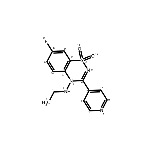 CCNN1C(c2ccncc2)=NS(=O)(=O)c2cc(F)ccc21